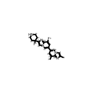 Cc1cn2nc(-c3cc(F)c4nc(C5(F)CCNCC5)cn4c3)cc(C)c2n1